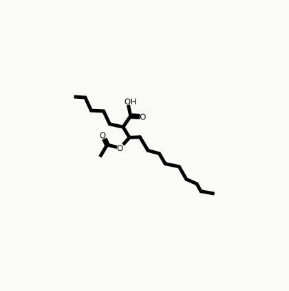 CCCCCCCCCC(OC(C)=O)C(CCCCC)C(=O)O